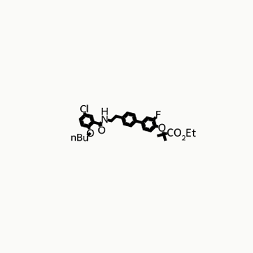 CCCCOc1ccc(Cl)cc1C(=O)NCCc1ccc(-c2ccc(OC(C)(C)C(=O)OCC)c(F)c2)cc1